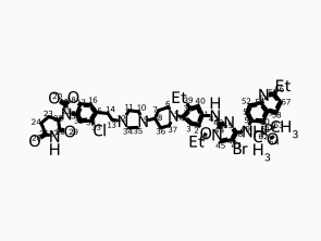 CCOc1cc(N2CCC(N3CCN(CCc4cc5oc(=O)n(C6CCC(=O)NC6=O)c5cc4Cl)CC3)CC2)c(CC)cc1Nc1ncc(Br)c(Nc2ccc3nc(CC)ccc3c2P(C)(C)=O)n1